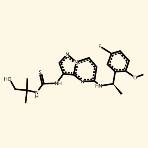 COc1ccc(F)cc1[C@@H](C)Nc1ccn2ncc(NC(=S)NC(C)(C)CO)c2n1